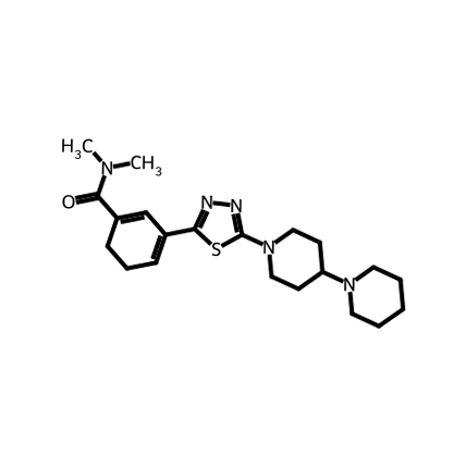 CN(C)C(=O)C1=CC(c2nnc(N3CCC(N4CCCCC4)CC3)s2)=CCC1